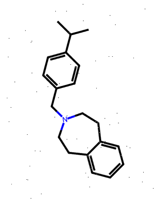 CC(C)c1ccc(CN2CCc3ccccc3CC2)cc1